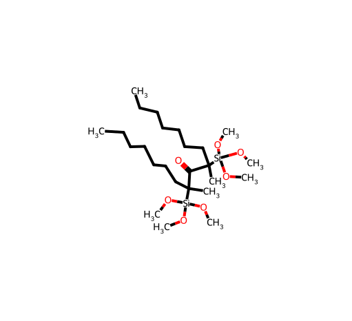 CCCCCCCC(C)(C(=O)C(C)(CCCCCCC)[Si](OC)(OC)OC)[Si](OC)(OC)OC